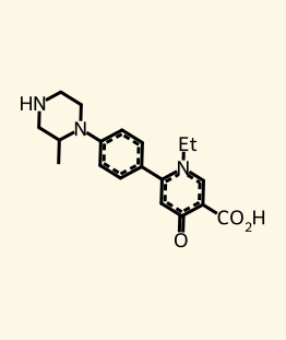 CCn1cc(C(=O)O)c(=O)cc1-c1ccc(N2CCNCC2C)cc1